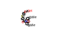 COc1ccc(CC(Cc2ccc(OC)cc2)(C(=O)c2ccc(Sc3ccc(OCCO)cc3)cc2)N2CCOCC2)cc1